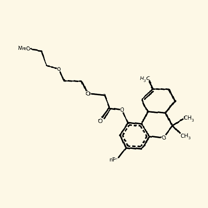 CCCc1cc(OC(=O)COCCOCCOC)c2c(c1)OC(C)(C)C1CCC(C)=CC21